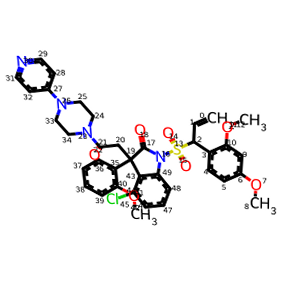 C=CC(c1ccc(OC)cc1OC)S(=O)(=O)N1C(=O)C(CC(=O)N2CCN(c3ccncc3)CC2)(c2ccccc2OC)c2c(Cl)cccc21